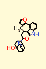 CC(CC(=O)N1CC2CC3CC1C[C@](O)(C3)C2)c1c[nH]c2cccc(-c3ccco3)c12